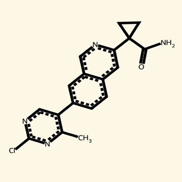 Cc1nc(Cl)ncc1-c1ccc2cc(C3(C(N)=O)CC3)ncc2c1